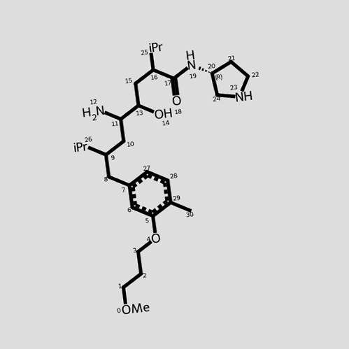 COCCCOc1cc(CC(CC(N)C(O)CC(C(=O)N[C@@H]2CCNC2)C(C)C)C(C)C)ccc1C